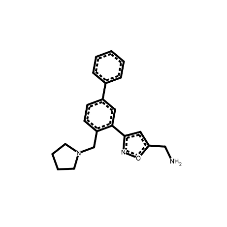 NCc1cc(-c2cc(-c3ccccc3)ccc2CN2CCCC2)no1